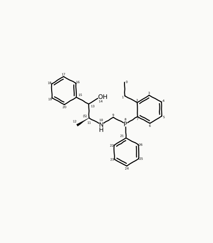 CCc1ccccc1P(CN[C@@H](C)C(O)c1ccccc1)c1ccccc1